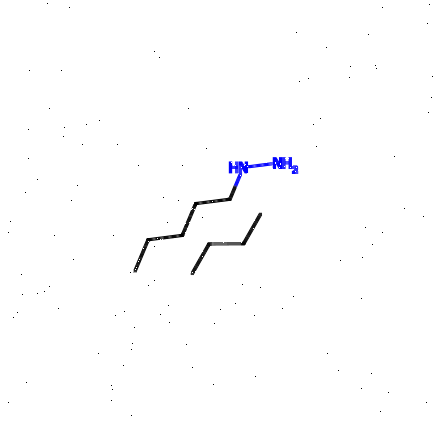 CCCC.CCCCCNN